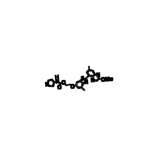 COc1cnc2c(-c3nc4c(C)cc(OCCOC(=O)Nc5ccncc5)cc4s3)cc(C)cc2n1